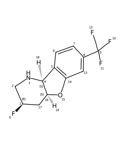 F[C@H]1CN[C@H]2c3ccc(C(F)(F)F)cc3O[C@H]2C1